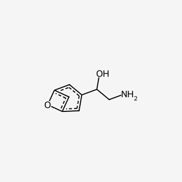 NCC(O)c1cc2cc(c1)O2